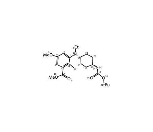 CCN(c1cc(OC)cc(C(=O)OC)c1C)[C@H]1CC[C@H](NC(=O)OC(C)(C)C)CC1